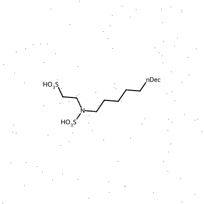 CCCCCCCCCCCCCCCN(CCS(=O)(=O)O)S(=O)(=O)O